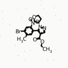 CCOC(=O)c1cnn([C@H]2CCOC2)c1-c1cc(C)c(Br)cc1[N+](=O)[O-]